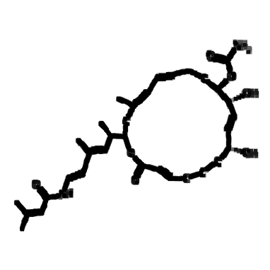 CC(C)=CC(=O)N/C=C/C(C)=C/[C@@H](C)C1C/C(C)=C/C=C/CC[C@@H](OC(N)=O)[C@H](O)/C=C/[C@H](O)CCC/C=C/C(=O)O1